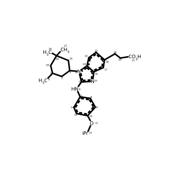 CC1CC(n2c(Nc3ccc(OC(C)C)cc3)nc3cc(CCC(=O)O)ccc32)CC(C)(C)C1